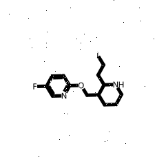 Fc1ccc(OCC2CCCNC2CCI)nc1